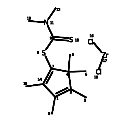 CC1=C(C)C(C)(C)C(SC(=S)N(C)C)=C1C.[Cl][Zr][Cl]